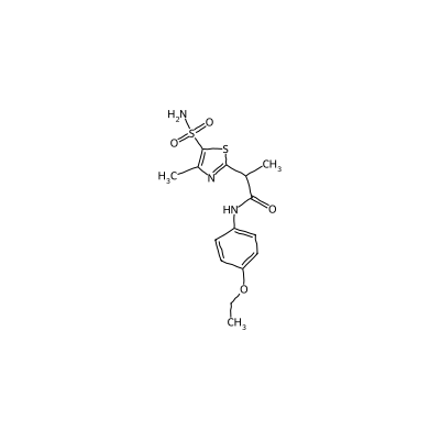 CCOc1ccc(NC(=O)C(C)c2nc(C)c(S(N)(=O)=O)s2)cc1